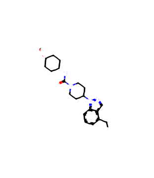 CCc1cccc2c1cnn2C1CCN(C(=O)N[C@H]2CC[C@H](OC)CC2)CC1